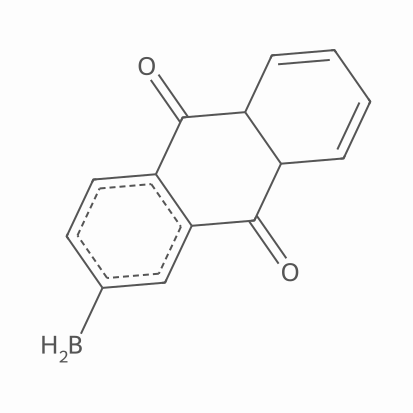 Bc1ccc2c(c1)C(=O)C1C=CC=CC1C2=O